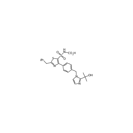 CC(C)Cc1nc(-c2ccc(Cn3ccnc3C(C)(C)O)cc2)c(S(=O)(=O)NC(=O)O)s1